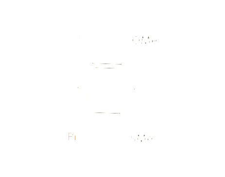 COc1cc(SC)c(Br)cc1I